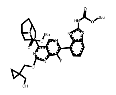 CC(C)(C)OC(=O)Nc1nc2c(-c3ncc4c(N5CC6CCC(C5)N6C(=O)OC(C)(C)C)nc(OCC5(CO)CC5)nc4c3F)cccc2s1